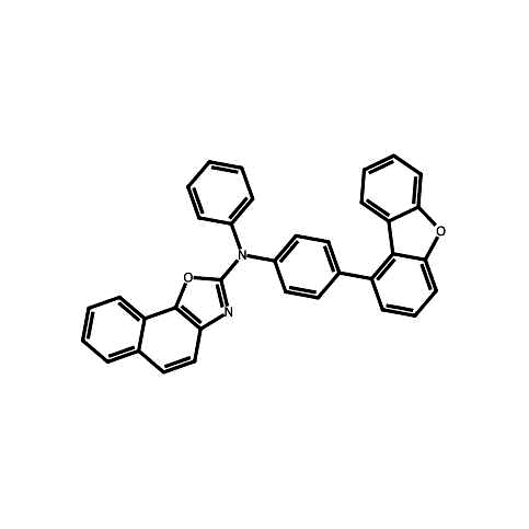 c1ccc(N(c2ccc(-c3cccc4oc5ccccc5c34)cc2)c2nc3ccc4ccccc4c3o2)cc1